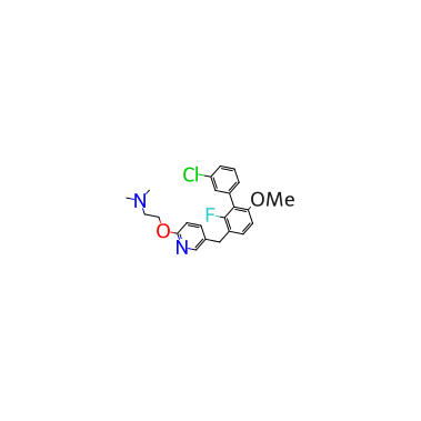 COc1ccc(Cc2ccc(OCCN(C)C)nc2)c(F)c1-c1cccc(Cl)c1